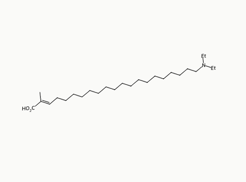 CCN(CC)CCCCCCCCCCCCCCCCCCC=C(C)C(=O)O